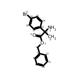 CC(N)(C(=O)OCc1ccccc1)c1ccc(Br)cc1